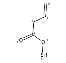 C=CCC(=O)OS